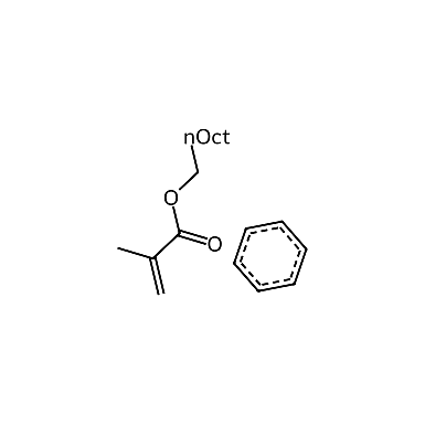 C=C(C)C(=O)OCCCCCCCCC.c1ccccc1